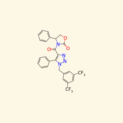 O=C1OCC(c2ccccc2)N1C(=O)c1nnn(Cc2cc(C(F)(F)F)cc(C(F)(F)F)c2)c1-c1ccccc1